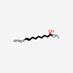 CCCCCCCC=CCCCCCCC(C)O